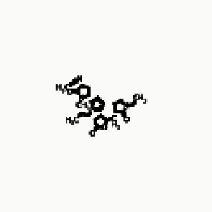 CC#N.CC1CCC(=O)O1.CCCn1cccc1.CCN1CCCC1=O.CN1CCCC1=O